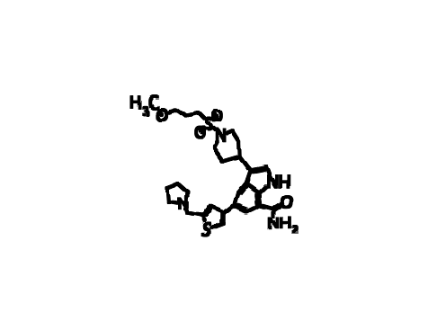 COCCCS(=O)(=O)N1CCC(c2c[nH]c3c(C(N)=O)cc(-c4csc(CN5CCCC5)c4)cc23)CC1